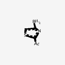 Bc1csc(C(C)=O)n1